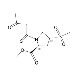 COC(=O)[C@@H]1C[C@@H](S(C)(=O)=O)CN1C(=S)CC(C)=O